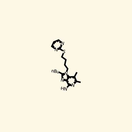 CCCCc1nc2c([NH])nc(C)c(C)c2n1CCCCSc1ncccn1